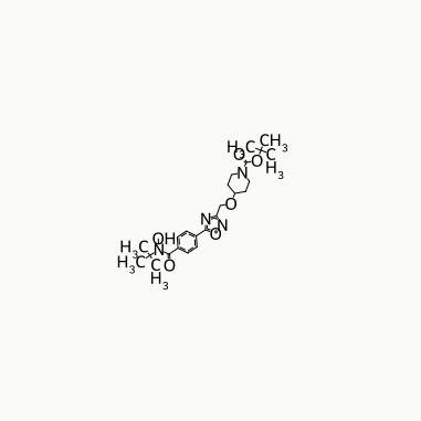 CC(C)(C)OC(=O)N1CCC(OCc2noc(-c3ccc(C(=O)N(O)C(C)(C)C)cc3)n2)CC1